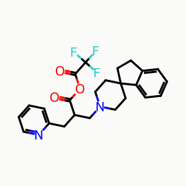 O=C(OC(=O)C(F)(F)F)C(Cc1ccccn1)CN1CCC2(CCc3ccccc32)CC1